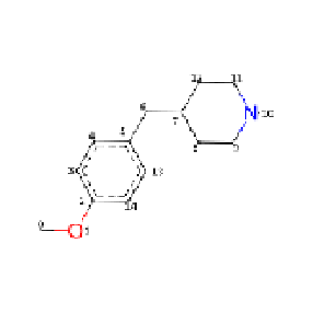 COc1ccc(CC2CC[N]CC2)cc1